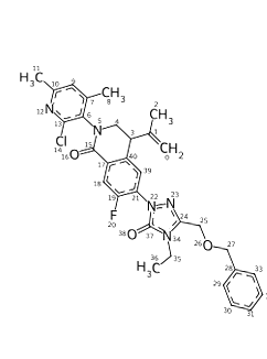 C=C(C)C1CN(c2c(C)cc(C)nc2Cl)C(=O)c2cc(F)c(-n3nc(COCc4ccccc4)n(CC)c3=O)cc21